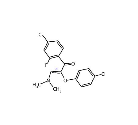 CN(C)/C=C(\Oc1ccc(Cl)cc1)C(=O)c1ccc(Cl)cc1F